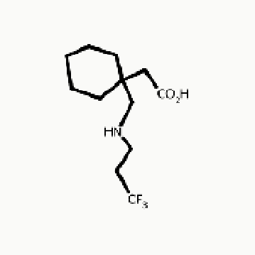 O=C(O)CC1(CNCCC(F)(F)F)CCCCC1